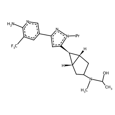 CC(O)N(C)C1C[C@@H]2[C@H](C1)[C@H]2c1cc(-c2cnc(N)c(C(F)(F)F)c2)nn1C(C)C